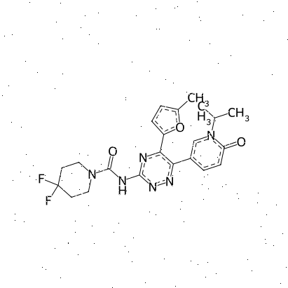 Cc1ccc(-c2nc(NC(=O)N3CCC(F)(F)CC3)nnc2-c2ccc(=O)n(C(C)C)c2)o1